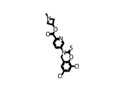 CN1CC(OC(=O)c2ccc(N3Cc4cc(Cl)cc(Cl)c4OC3=S)cn2)C1